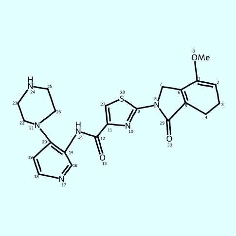 COC1=CCCC2=C1CN(c1nc(C(=O)Nc3cnccc3N3CCNCC3)cs1)C2=O